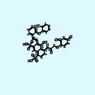 Cc1ccccc1Oc1ccccc1/N=N/c1c(S(=O)(=O)O)cc2c(S(=O)(=O)O)ccc(NC(=O)COc3ccc(Cl)cc3Cl)c2c1O